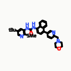 CSc1ncc(C(C)(C)C)cc1NC(=O)Nc1ccc(-c2ccc(CN3CCOCC3)nc2)c2ccccc12